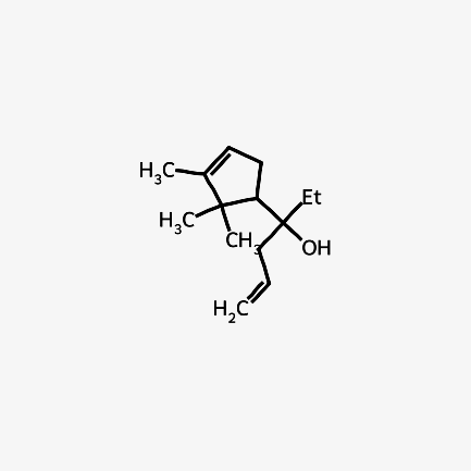 C=CCC(O)(CC)C1CC=C(C)C1(C)C